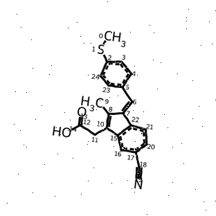 CSc1ccc(C=C2C(C)=C(CC(=O)O)c3cc(C#N)ccc32)cc1